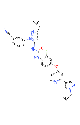 CCc1cc(NC(=O)Nc2ccc(Oc3ccnc(-c4cnn(CC)c4)c3)cc2F)n(-c2cccc(C#N)c2)n1